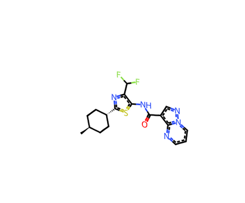 C[C@H]1CC[C@H](c2nc(C(F)F)c(NC(=O)c3cnn4cccnc34)s2)CC1